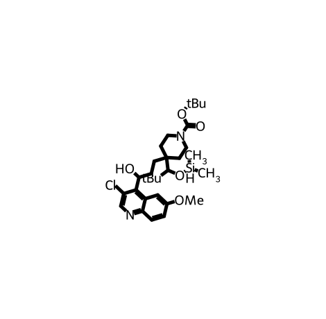 COc1ccc2ncc(Cl)c(C(O)CCC3(C(O[SiH](C)C)C(C)(C)C)CCN(C(=O)OC(C)(C)C)CC3)c2c1